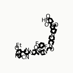 CCOc1cc(-c2ccc(N3CCC(CN4CCN(CCC(=O)N5CCC6(CC5)CCN(c5ccc7c(c5)CN(C5CCC(=O)NC5=O)C7=O)CC6)CC4)(NC(=O)c4cc(F)ccc4F)CC3)nc2)c2c(C#N)cnn2c1